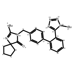 CCCCC1=NC2(CCCC2)C(=O)N1Cc1ccc(-c2ccccc2-c2nnnn2C(C)(C)C)cc1